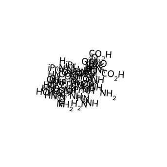 CC(C)[C@H](NC(=O)CNC(=O)[C@H](CCC(=O)O)NC(=O)[C@H](C)NC(=O)[C@@H](N)CC(=O)O)C(=O)N[C@H](C(=O)N[C@@H](CCCCN)C(=O)N[C@@H](CCCNC(=N)N)C(=O)N[C@H](C(=O)N[C@@H](C)C(=O)N[C@H](C(=O)N[C@H](C(=O)N[C@H](C(=O)N[C@H](C(=O)NCC(=O)N[C@H](C(=O)N[C@H](C(=O)N[C@@H](CC(N)=O)C(=O)N[C@@H](CC(N)=O)C(=O)N[C@@H](CCC(=O)O)C(=O)O)[C@@H](C)O)[C@@H](C)O)C(C)C)C(C)C)[C@@H](C)O)C(C)C)C(C)C)[C@@H](C)O